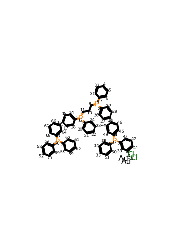 [Cl][Au].[Cl][Au].c1ccc(P(CCCP(c2ccccc2)c2ccccc2)c2ccccc2)cc1.c1ccc(P(c2ccccc2)c2ccccc2)cc1.c1ccc(P(c2ccccc2)c2ccccc2)cc1